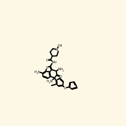 Cc1cc(Oc2ccccc2)ccc1C1(N)C(=O)C(N)c2c(NC(=O)C3CCN(C#N)CC3)sc3c(N)ccc1c23